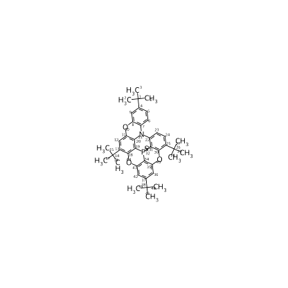 CC(C)(C)c1ccc2c(c1)Oc1cc(C(C)(C)C)c3c4c1N2c1ccc(C(C)(C)C)c2c1P4(=S)c1c(cc(C(C)(C)C)cc1O3)O2